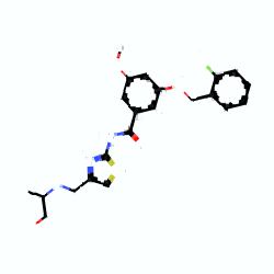 CC(CO)NCc1csc(NC(=O)c2cc(OCc3ccccc3F)cc(OC(C)C)c2)n1